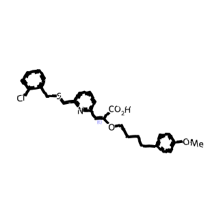 COc1ccc(CCCCO/C(=C/c2cccc(CSCc3ccccc3Cl)n2)C(=O)O)cc1